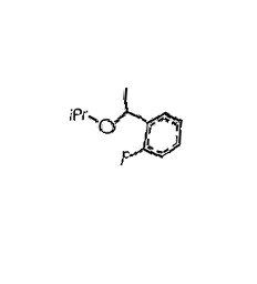 CC(C)OC(C)c1ccccc1F